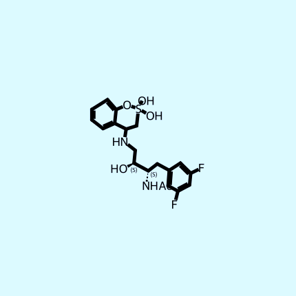 CC(=O)N[C@@H](Cc1cc(F)cc(F)c1)[C@@H](O)CNC1CS(O)(O)Oc2ccccc21